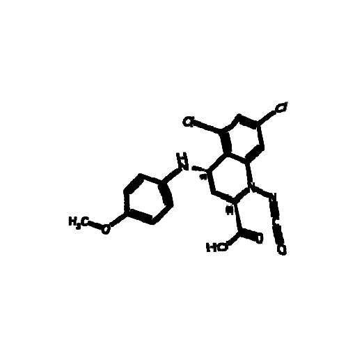 COc1ccc(N[C@H]2C[C@H](C(=O)O)N(N=C=O)c3cc(Cl)cc(Cl)c32)cc1